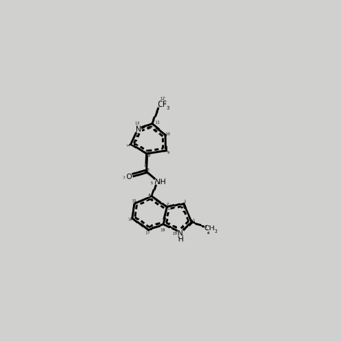 Cc1cc2c(NC(=O)c3ccc(C(F)(F)F)nc3)cccc2[nH]1